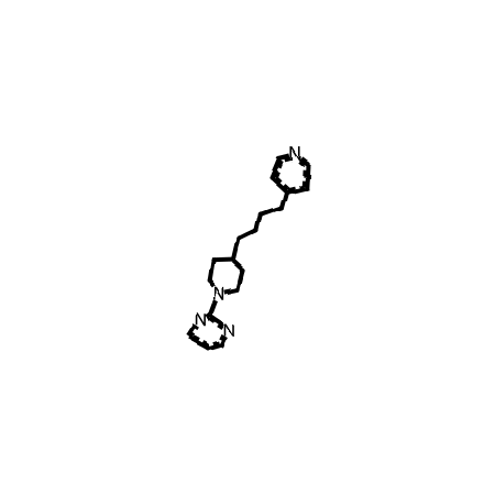 c1cnc(N2CCC(CCCCc3ccncc3)CC2)nc1